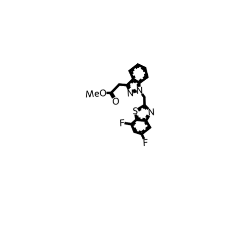 COC(=O)Cc1nn(Cc2nc3cc(F)cc(F)c3s2)c2ccccc12